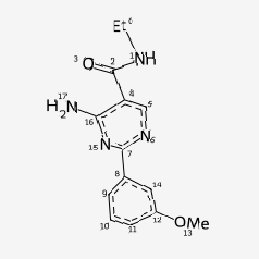 CCNC(=O)c1cnc(-c2cccc(OC)c2)nc1N